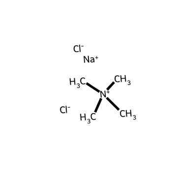 C[N+](C)(C)C.[Cl-].[Cl-].[Na+]